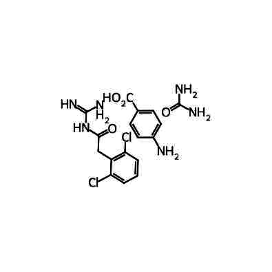 N=C(N)NC(=O)Cc1c(Cl)cccc1Cl.NC(N)=O.Nc1ccc(C(=O)O)cc1